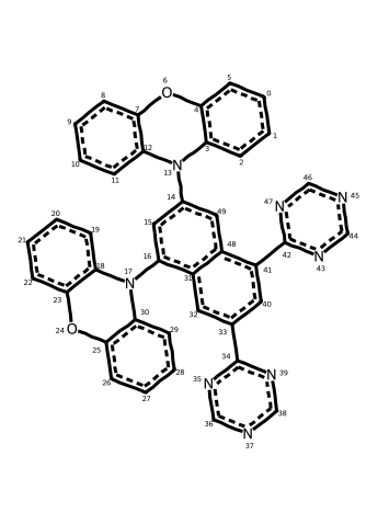 c1ccc2c(c1)Oc1ccccc1N2c1cc(N2c3ccccc3Oc3ccccc32)c2cc(-c3ncncn3)cc(-c3ncncn3)c2c1